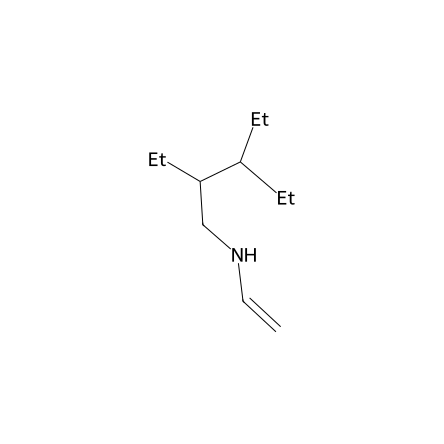 C=CNCC(CC)C(CC)CC